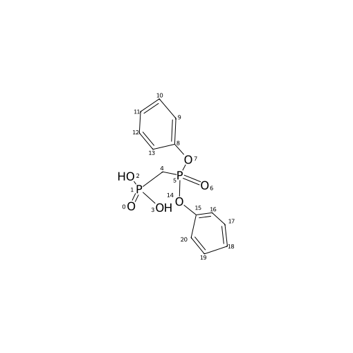 O=P(O)(O)CP(=O)(Oc1ccccc1)Oc1ccccc1